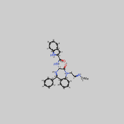 CON=CCN1C(=O)[C@@H](NC(=O)c2cc3ccccc3[nH]2)N=C(c2ccccc2)c2ccccc21